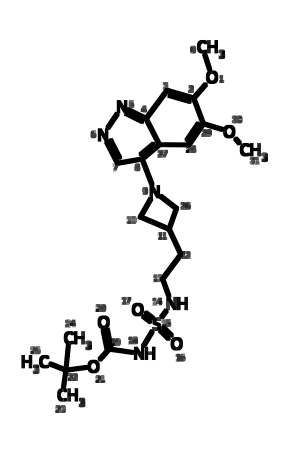 COc1cc2nncc(N3CC(CCNS(=O)(=O)NC(=O)OC(C)(C)C)C3)c2cc1OC